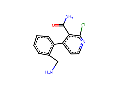 NCc1ccccc1-c1ccnc(Cl)c1C(N)=O